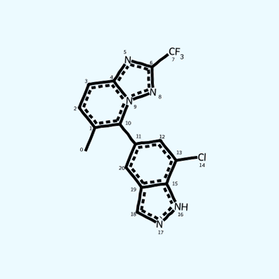 Cc1ccc2nc(C(F)(F)F)nn2c1-c1cc(Cl)c2[nH]ncc2c1